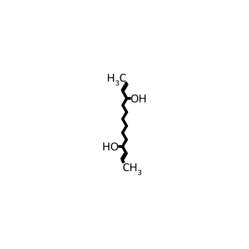 C/C=C/C(O)CCCCCCC(O)/C=C/C